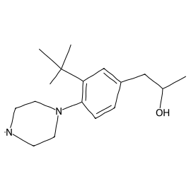 CC(O)Cc1ccc(N2CC[N]CC2)c(C(C)(C)C)c1